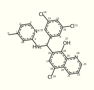 Cc1ccnc(NC(c2cc(Cl)cc(Cl)c2)c2cc(Cl)c3cccnc3c2O)c1